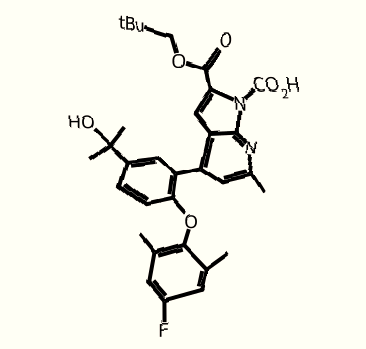 Cc1cc(-c2cc(C(C)(C)O)ccc2Oc2c(C)cc(F)cc2C)c2cc(C(=O)OCC(C)(C)C)n(C(=O)O)c2n1